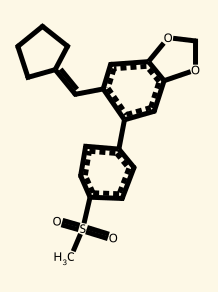 CS(=O)(=O)c1ccc(-c2cc3c(cc2C=C2CCCC2)OCO3)cc1